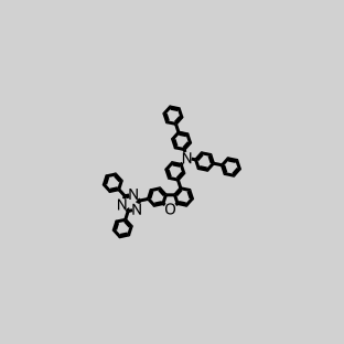 c1ccc(-c2ccc(N(c3ccc(-c4ccccc4)cc3)c3cccc(-c4cccc5oc6cc(-c7nc(-c8ccccc8)nc(-c8ccccc8)n7)ccc6c45)c3)cc2)cc1